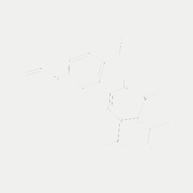 C=CNc1ccc(OCC)c(C2=NN(C(=C)CCC)/C(=C(/C)C(C)CC)C(=O)N2)c1